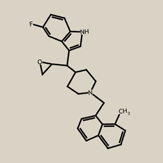 Cc1cccc2cccc(CN3CCC(C(c4c[nH]c5ccc(F)cc45)C4CO4)CC3)c12